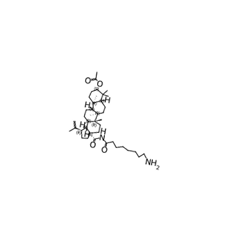 C=C(C)[C@@H]1CC[C@]2(C(=O)NC(=O)CCCCCCCN)CC[C@]3(C)[C@H](CC[C@@H]4[C@@]5(C)CC[C@H](OC(C)=O)C(C)(C)[C@@H]5CC[C@]43C)[C@@H]12